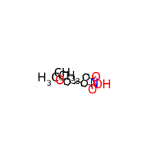 CC(C)(C)Oc1ccc(/C=C/c2ccc3c4c(cccc24)C(=O)N(O)C3=O)cc1